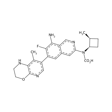 Cc1c(-c2cc3cc(N(C(=O)O)[C@@H]4CC[C@@H]4C)ncc3c(N)c2F)cnc2c1NCCO2